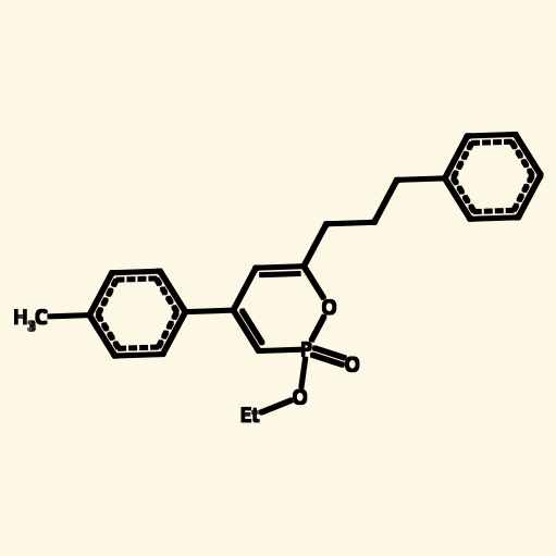 CCOP1(=O)C=C(c2ccc(C)cc2)C=C(CCCc2ccccc2)O1